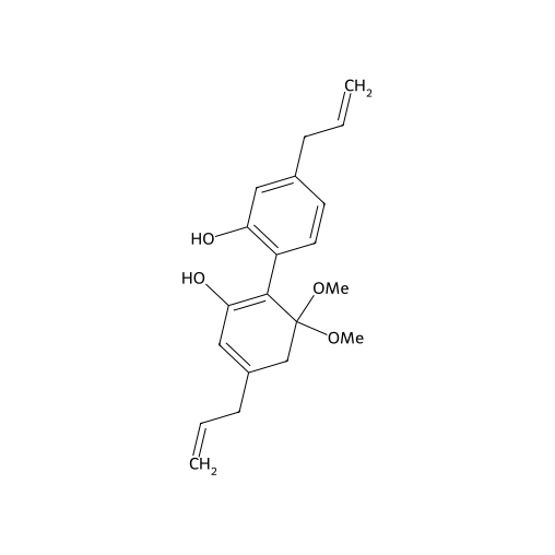 C=CCC1=CC(O)=C(c2ccc(CC=C)cc2O)C(OC)(OC)C1